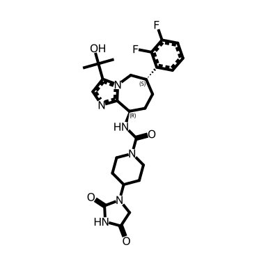 CC(C)(O)c1cnc2n1C[C@H](c1cccc(F)c1F)CC[C@H]2NC(=O)N1CCC(N2CC(=O)NC2=O)CC1